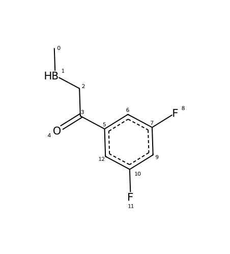 CBCC(=O)c1cc(F)cc(F)c1